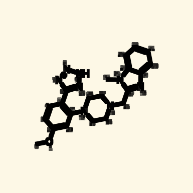 COc1ccc(-c2nn[nH]n2)c(N2CCN(Cc3nc4ccccc4n3C)CC2)c1